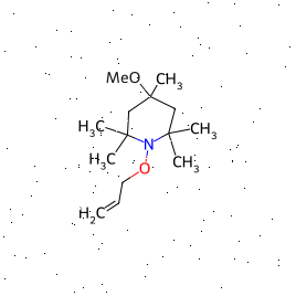 C=CCON1C(C)(C)CC(C)(OC)CC1(C)C